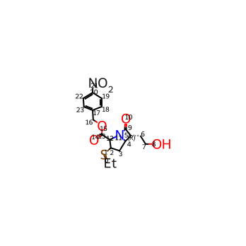 CCSC1CC2[C@@H](CCO)C(=O)N2C1C(=O)OCc1ccc([N+](=O)[O-])cc1